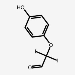 O=CC(I)(I)Oc1ccc(O)cc1